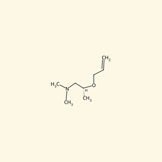 C=CCO[C@H](C)CN(C)C